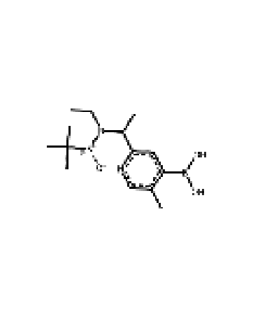 CCN(C(C)c1cc(B(O)O)c(C)cn1)[S@+]([O-])C(C)(C)C